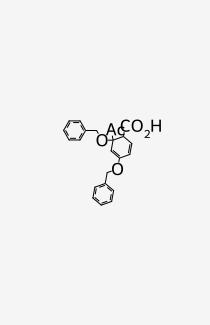 CC(=O)C1(OCc2ccccc2)C=C(OCc2ccccc2)C=CC1C(=O)O